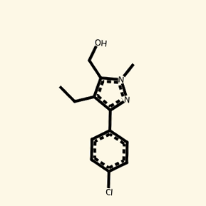 CCc1c(-c2ccc(Cl)cc2)nn(C)c1CO